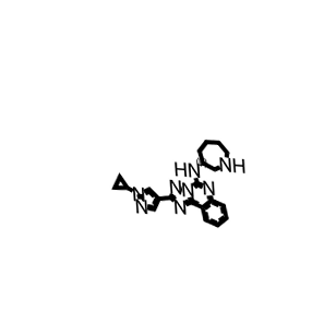 c1ccc2c(c1)nc(N[C@@H]1CCCCNC1)n1nc(-c3cnn(C4CC4)c3)nc21